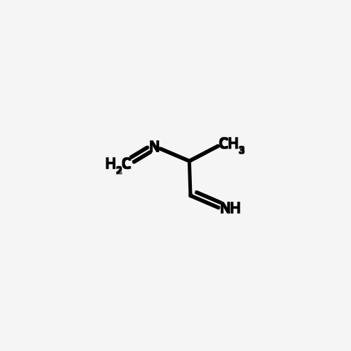 C=NC(C)C=N